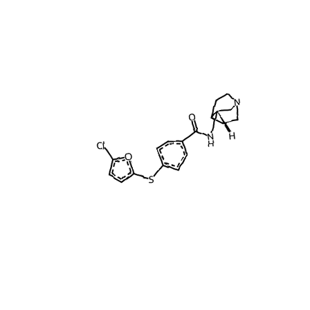 O=C(N[C@H]1CN2CCC1CC2)c1ccc(Sc2ccc(Cl)o2)cc1